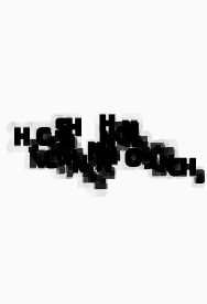 Cc1cn(C2(CC#N)CN(c3cccn4nc(Nc5cnn(CC(=O)N6CCN(C)CC6)c5)nc34)C2)nc1S